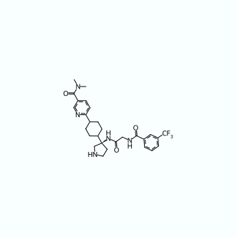 CN(C)C(=O)c1ccc(C2CCC([C@]3(NC(=O)CNC(=O)c4cccc(C(F)(F)F)c4)CCNC3)CC2)nc1